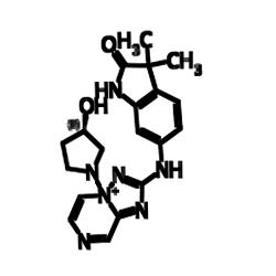 CC1(C)C(=O)Nc2cc(NC3=N[N+]4(N5CC[C@@H](O)C5)C=CN=CC4=N3)ccc21